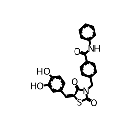 O=C(Nc1ccccc1)c1ccc(CN2C(=O)SC(=Cc3ccc(O)c(O)c3)C2=O)cc1